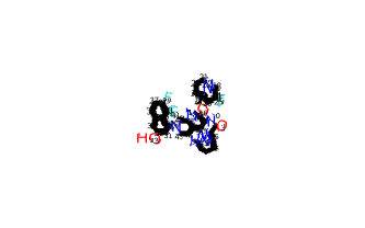 CN1C(=O)C2C3CCC(CN2c2c4c(nc(OC[C@@]56CCCN5C[C@H](F)C6)c21)CN(c1cc(O)cc2ccc(F)c(F)c12)CC4)N3